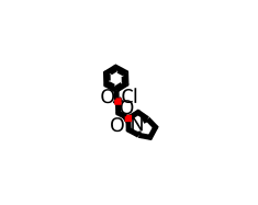 O=C(Cl)CC1CC2CCC(C1)N2C(=O)OCc1ccccc1